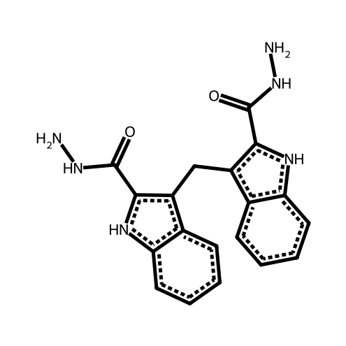 NNC(=O)c1[nH]c2ccccc2c1Cc1c(C(=O)NN)[nH]c2ccccc12